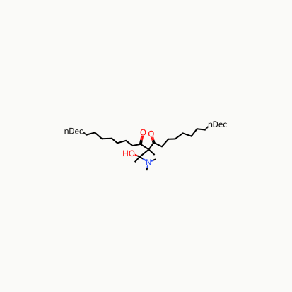 CCCCCCCCCCCCCCCCCC(=O)C(C)(C(=O)CCCCCCCCCCCCCCCCC)C(C)(O)N(C)C